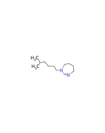 CC(C)CCCCN1C=NCCCC1